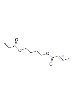 C=CC(=O)OCCCCOC(=O)/C=C/C